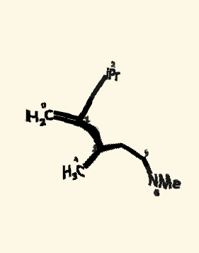 C=C(C(C)C)C(C)CNC